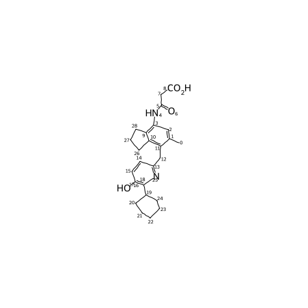 Cc1cc(NC(=O)CC(=O)O)c2c(c1Cc1ccc(O)c(C3CCCCC3)n1)CCC2